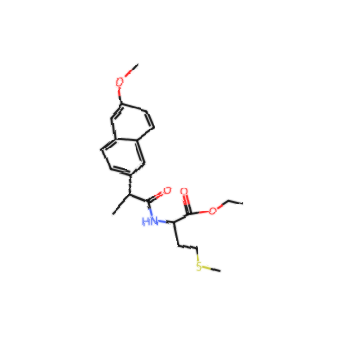 CCOC(=O)C(CCSC)NC(=O)C(C)c1ccc2cc(OC)ccc2c1